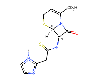 Cn1ccnc1CC(=S)N[C@@H]1C(=O)N2C(C(=O)O)=CCS[C@H]12